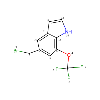 FC(F)(F)Oc1cc(CBr)cc2cc[nH]c12